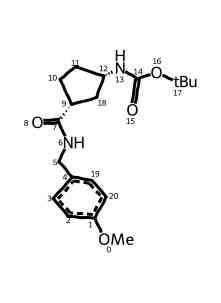 COc1ccc(CNC(=O)[C@@H]2CC[C@H](NC(=O)OC(C)(C)C)C2)cc1